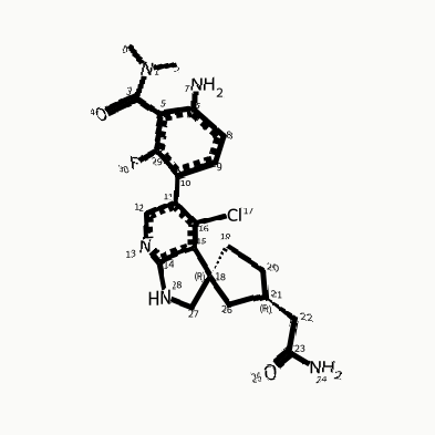 CN(C)C(=O)c1c(N)ccc(-c2cnc3c(c2Cl)[C@]2(CC[C@@H](CC(N)=O)C2)CN3)c1F